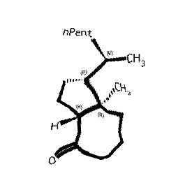 CCCCC[C@@H](C)[C@H]1CC[C@H]2C(=O)CCC[C@]12C